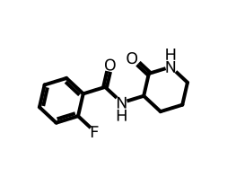 O=C(NC1CCCNC1=O)c1ccccc1F